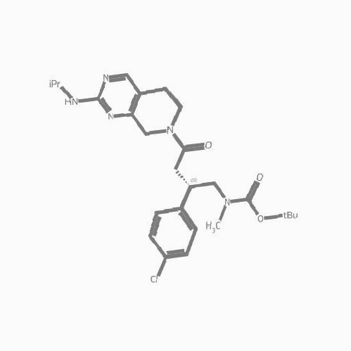 CC(C)Nc1ncc2c(n1)CN(C(=O)C[C@H](CN(C)C(=O)OC(C)(C)C)c1ccc(Cl)cc1)CC2